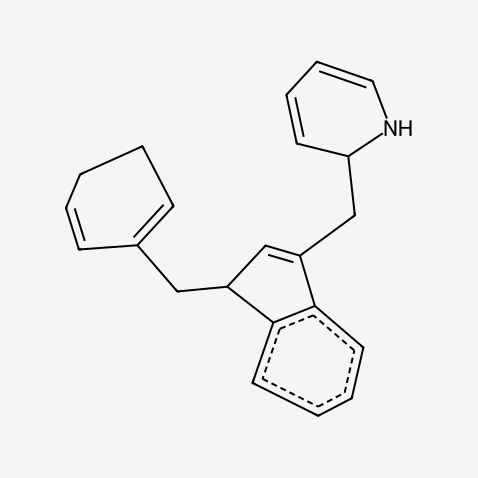 C1=CNC(CC2=CC(CC3=CCCC=C3)c3ccccc32)C=C1